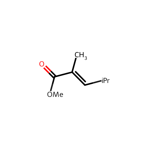 COC(=O)C(C)=CC(C)C